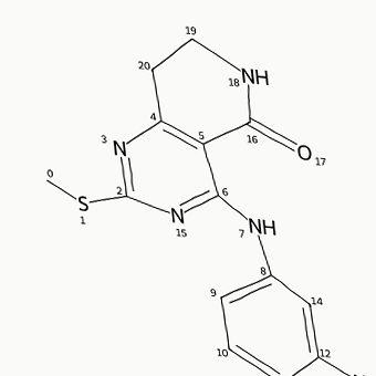 CSc1nc2c(c(Nc3cccc(N)c3)n1)C(=O)NCC2